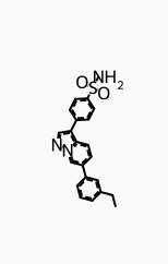 CCc1cccc(-c2ccc3c(-c4ccc(S(N)(=O)=O)cc4)cnn3c2)c1